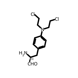 N[C@H](C=O)Cc1ccc(N(CCCl)CCCl)cc1